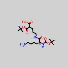 CC(C)(C)OC(=O)N[C@@H](CCCCN)C(=O)NCCCC(C(=O)O)C(=O)OC(C)(C)C